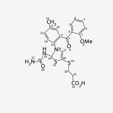 COc1ccccc1C(=O)c1cc(C)ccc1N1C=C(SCCC(=O)O)SC1NC(N)=O